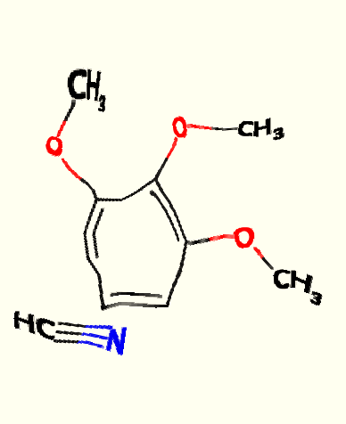 C#N.COc1cccc(OC)c1OC